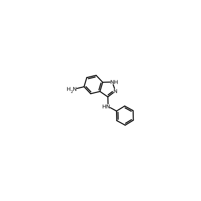 Nc1ccc2[nH]nc(Nc3ccccc3)c2c1